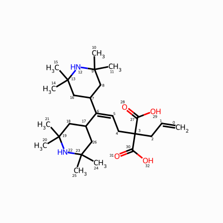 C=CCC(CC=C(C1CC(C)(C)NC(C)(C)C1)C1CC(C)(C)NC(C)(C)C1)(C(=O)O)C(=O)O